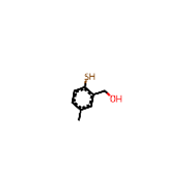 Cc1ccc(S)c(CO)c1